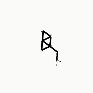 CCCCC12C3C4C1C432